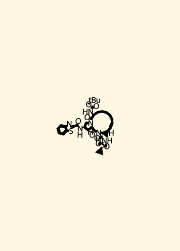 CC(C)(C)OC(=O)N[C@H]1CCCCC/C=C\[C@@H]2C[C@@]2(C(=O)NS(=O)(=O)C2CC2)NC(=O)[C@@H]2C[C@@H](NC(=O)c3nc4ccccc4s3)CN2C1=O